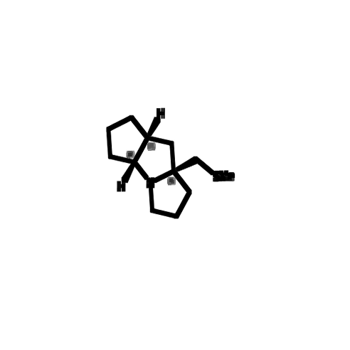 CSC[C@@]12CCCN1[C@@H]1CCC[C@@H]1C2